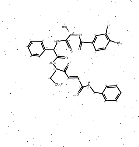 CC(C)(C)[C@H](NC(=O)c1ccc(N)c(Cl)c1)C(=O)NC(C(=O)NN(CC(=O)O)C(=O)/C=C/C(=O)NCc1ccccc1)c1ccccc1